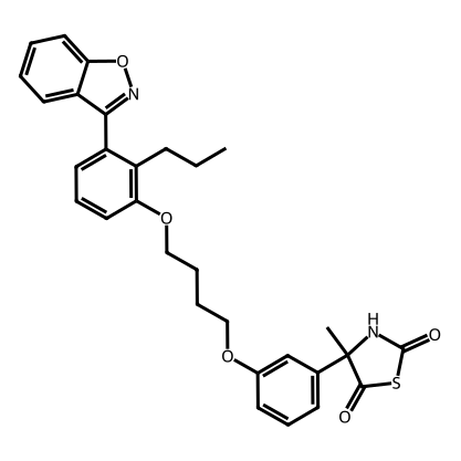 CCCc1c(OCCCCOc2cccc(C3(C)NC(=O)SC3=O)c2)cccc1-c1noc2ccccc12